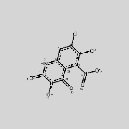 O=c1[nH]c2cc(Cl)c(Cl)c([N+](=O)[O-])c2c(=O)n1O